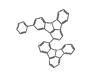 c1ccc(-c2ccc3c(c2)c2c(-c4cccc5c6cccc7c8ccccc8n(c45)c76)ccc4c5ccccc5n3c42)cc1